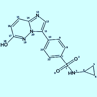 O=S(=O)(NC1CC1)c1ccc(-c2cnc3ccc(O)nn23)cc1